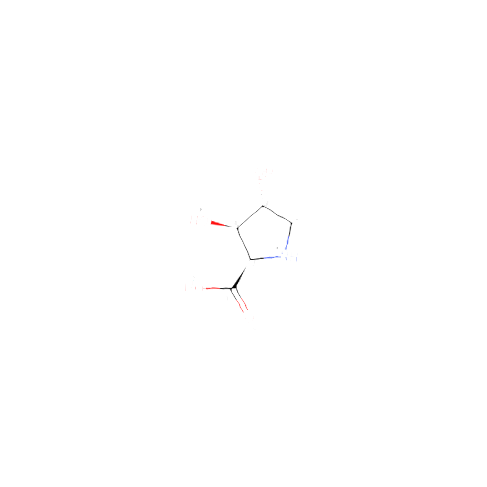 O=C(O)[C@@H]1NC[C@@H](O)[C@@H]1O